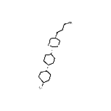 C[C@H]1CC[C@H](C2CCC([C@H]3OC[C@H](CCCC(F)(F)F)CO3)CC2)CC1